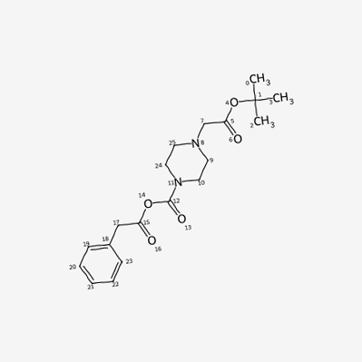 CC(C)(C)OC(=O)CN1CCN(C(=O)OC(=O)Cc2ccccc2)CC1